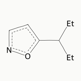 CCC(CC)c1ccno1